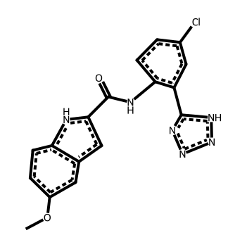 COc1ccc2[nH]c(C(=O)Nc3ccc(Cl)cc3-c3nnn[nH]3)cc2c1